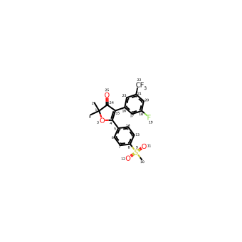 CC1(C)OC(c2ccc(S(C)(=O)=O)cc2)=C(c2cc(F)cc(C(F)(F)F)c2)C1=O